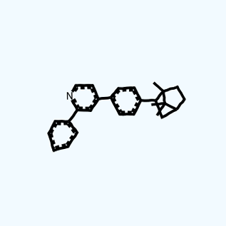 CC1(C)C2CCC1(C)C(c1ccc(-c3ccnc(-c4ccccc4)c3)cc1)C2